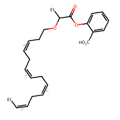 CC/C=C\C/C=C\C/C=C\C/C=C\CCOC(CC)C(=O)Oc1ccccc1C(=O)O